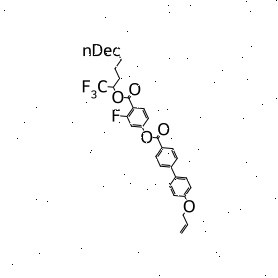 C=CCOc1ccc(-c2ccc(C(=O)Oc3ccc(C(=O)OC(CCCCCCCCCCCCC)C(F)(F)F)c(F)c3)cc2)cc1